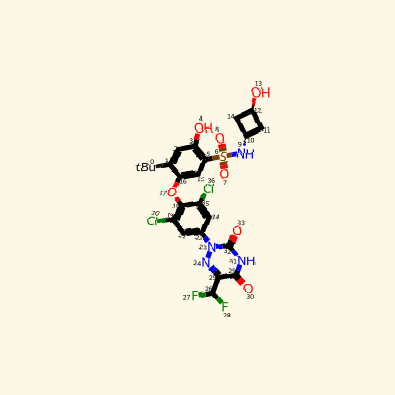 CC(C)(C)c1cc(O)c(S(=O)(=O)N[C@H]2C[C@H](O)C2)cc1Oc1c(Cl)cc(-n2nc(C(F)F)c(=O)[nH]c2=O)cc1Cl